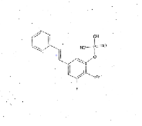 CCCc1c(F)cc(/C=C/c2ccccc2)cc1OP(=O)(O)O